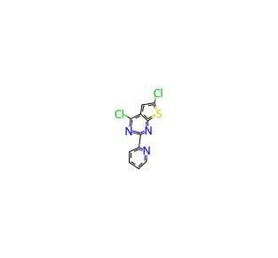 Clc1cc2c(Cl)nc(-c3ccccn3)nc2s1